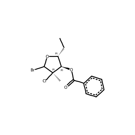 CC[C@H]1OC(Br)[C@](C)(Cl)[C@@H]1OC(=O)c1ccccc1